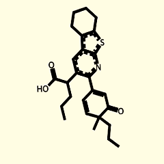 CCCC(C(=O)O)c1cc2c3c(sc2nc1C1=CC(=O)C(C)(CCC)C=C1)CCCC3